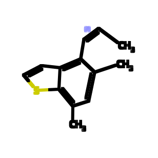 C/C=C\c1c(C)cc(C)c2sccc12